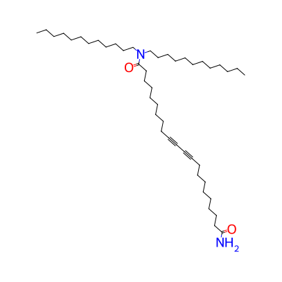 CCCCCCCCCCCCN(CCCCCCCCCCCC)C(=O)CCCCCCCCC#CC#CCCCCCCCCC(N)=O